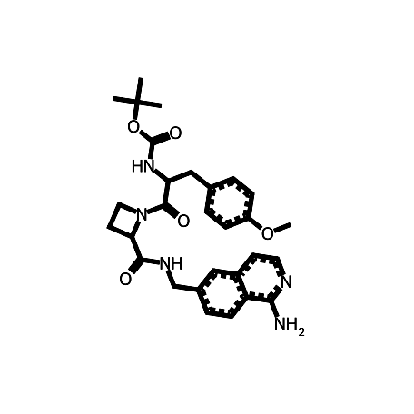 COc1ccc(CC(NC(=O)OC(C)(C)C)C(=O)N2CCC2C(=O)NCc2ccc3c(N)nccc3c2)cc1